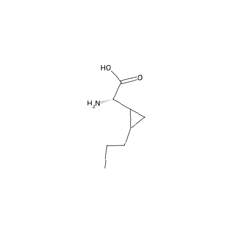 CCCC1CC1[C@H](N)C(=O)O